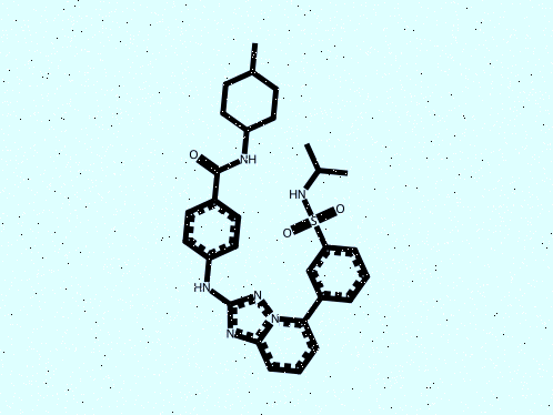 CC1CCC(NC(=O)c2ccc(Nc3nc4cccc(-c5cccc(S(=O)(=O)NC(C)C)c5)n4n3)cc2)CC1